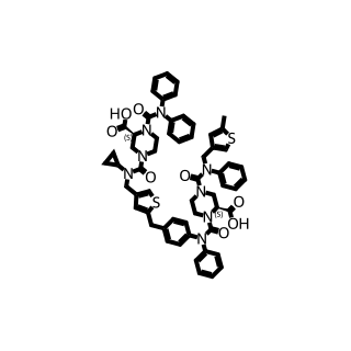 Cc1cc(CN(C(=O)N2CCN(C(=O)N(c3ccccc3)c3ccc(Cc4cc(CN(C(=O)N5CCN(C(=O)N(c6ccccc6)c6ccccc6)[C@H](C(=O)O)C5)C5CC5)cs4)cc3)[C@H](C(=O)O)C2)c2ccccc2)cs1